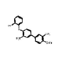 COc1ccc(-c2ccc(Oc3ccccc3C(C)(C)C)c(N)c2)cc1[N+](=O)[O-]